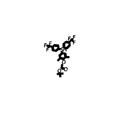 Cc1cc([SH](c2ccc(C(F)(F)F)cc2)c2ccc(C(F)(F)F)cc2)cc(C)c1OCC(=O)OC(C)(C)C